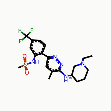 CCN1CCC[C@@H](Nc2nnc(-c3ccc(C(F)(F)F)cc3NS(C)(=O)=O)cc2C)C1